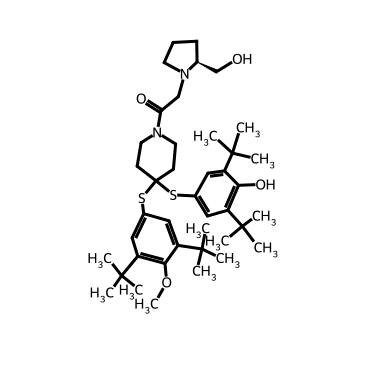 COc1c(C(C)(C)C)cc(SC2(Sc3cc(C(C)(C)C)c(O)c(C(C)(C)C)c3)CCN(C(=O)CN3CCC[C@H]3CO)CC2)cc1C(C)(C)C